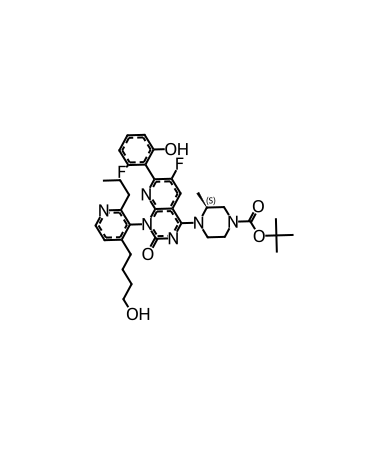 CCCc1nccc(CCCCO)c1-n1c(=O)nc(N2CCN(C(=O)OC(C)(C)C)C[C@@H]2C)c2cc(F)c(-c3c(O)cccc3F)nc21